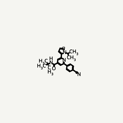 CC(C)n1pccc1-c1cc(C(=O)NC(C)(C)C)cc(-c2ccc(C#N)cc2)n1